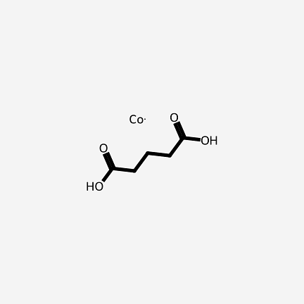 O=C(O)CCCC(=O)O.[Co]